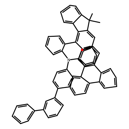 CC1(C)c2ccccc2-c2c(-c3ccccc3N(c3ccc(-c4cccc(-c5ccccc5)c4)cc3)c3ccccc3-c3ccccc3-c3ccccc3-c3ccccc3)cccc21